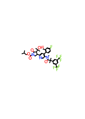 Cc1cc(F)ccc1-c1cc(C2CN(C(=O)OCC(C)C)C(=O)C2C(C)(C)O)ncc1N(C)C(=O)C(C)(C)c1cc(C(F)(F)F)cc(C(F)(F)F)c1